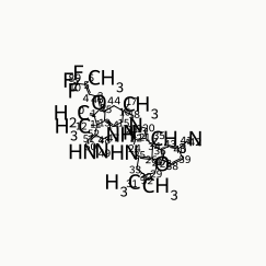 C=C(/C=C\C=C(/C)C(F)(F)F)[C@]1(C)C2=C(CC(C)(Cn3cc4c(n3)NC3=C(C(=O)CC(C)(C)C3)[C@@]4(C)c3cccc(C#N)c3)CC2=O)Nc2n[nH]cc21